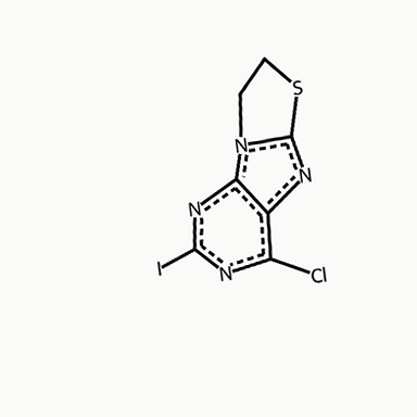 Clc1nc(I)nc2c1nc1n2CCS1